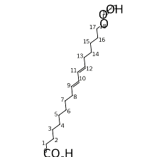 O=C(O)CCCCCCCCC=CC=CCCCCCOOO